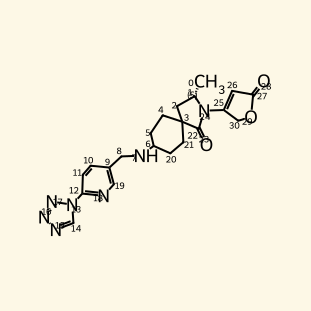 C[C@H]1CC2(CCC(NCc3ccc(-n4cnnn4)nc3)CC2)C(=O)N1C1=CC(=O)OC1